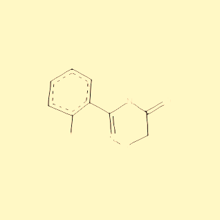 O=C1CON=C(c2ccccc2Cl)N1